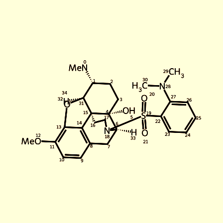 CN[C@@H]1CC[C@@]2(O)[C@H]3Cc4ccc(OC)c5c4[C@@]2(CCN3S(=O)(=O)c2ccccc2N(C)C)[C@H]1O5